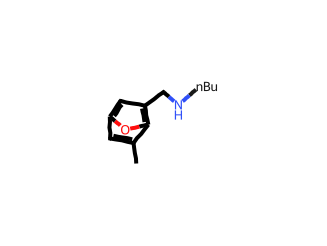 CCCCNCc1cc2cc(C)c1o2